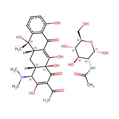 CC(=O)N[C@@H]1[C@@H](O)[C@H](O)[C@@H](CO)O[C@@H]1O.CN(C)[C@@H]1C(O)=C(C(N)=O)C(=O)[C@@]2(O)C(O)=C3C(=O)c4c(O)cccc4[C@@](C)(O)[C@H]3C[C@@H]12